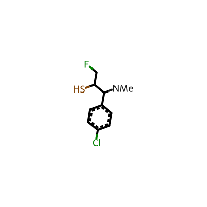 CNC(c1ccc(Cl)cc1)C(S)CF